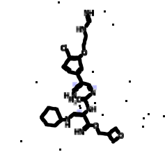 C=C(/N=C\C(=C/N)c1ccc(Cl)c(OCCNC=N)c1)N/C(=C/NC1CCCCC1)C(=N)OCC1COC1